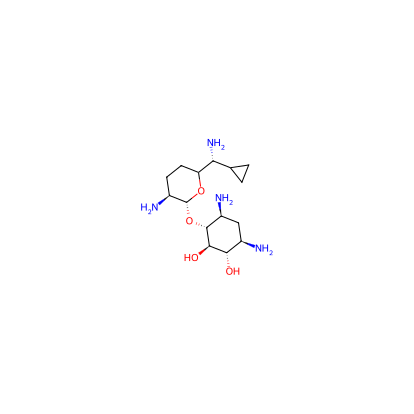 N[C@H](C1CC1)C1CC[C@H](N)[C@@H](O[C@H]2[C@H](O)[C@@H](O)[C@H](N)C[C@@H]2N)O1